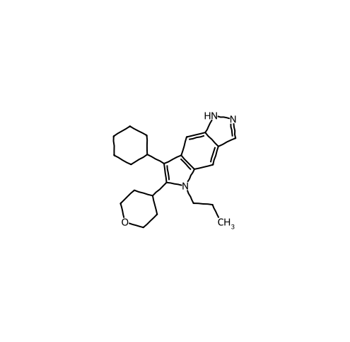 CCCn1c(C2CCOCC2)c(C2CCCCC2)c2cc3[nH]ncc3cc21